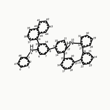 c1ccc(Nc2ccc(-c3ccc4c(c3)-c3cccc(c3)-c3ccccc3-c3ccccc3N4)cc2-c2cccc3ccccc23)cc1